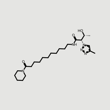 Cc1cn([C@H](C(=O)NCCCCCCCCCCC(=O)N2CCCCC2)[C@@H](C)O)nn1